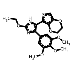 CCOc1nc(-c2cc(OC)c(OC)c(OC)c2)c(-c2scc3c2OCCO3)[nH]1